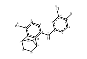 CC(=O)c1ncc(Nc2ccc(C)c(Cl)c2)c2c1C1CCC2CC1